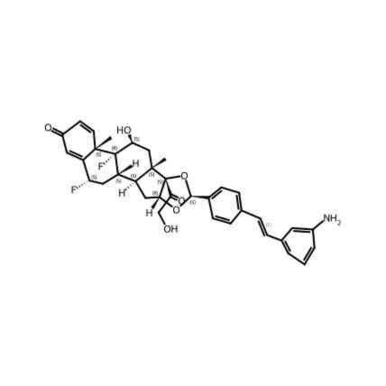 C[C@]12C=CC(=O)C=C1[C@@H](F)C[C@H]1[C@@H]3C[C@H]4O[C@H](c5ccc(/C=C/c6cccc(N)c6)cc5)O[C@@]4(C(=O)CO)[C@@]3(C)C[C@H](O)[C@@]12F